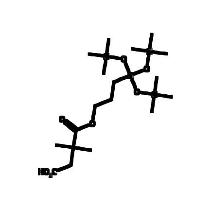 CC(C)(CC(=O)O)C(=O)OCCC[Si](O[Si](C)(C)C)(O[Si](C)(C)C)O[Si](C)(C)C